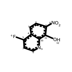 O=[N+]([O-])c1ccc2c(F)ccnc2c1O